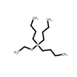 C[CH]O[Si](CCCC)(CCCC)CCCC